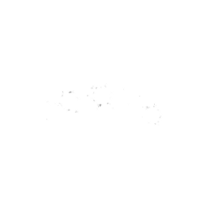 c1ccc(COCc2cnc(-c3ccc4c(c3)OCO4)cn2)nc1